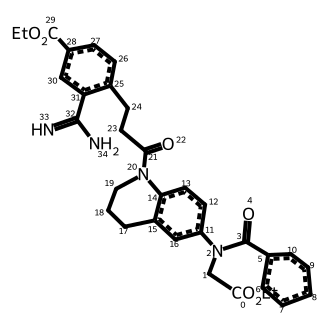 CCOC(=O)CN(C(=O)c1ccccc1)c1ccc2c(c1)CCCN2C(=O)CCc1ccc(C(=O)OCC)cc1C(=N)N